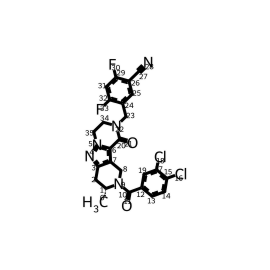 C[C@@H]1Cc2nn3c(c2CN1C(=O)c1ccc(Cl)c(Cl)c1)C(=O)N(Cc1cc(C#N)c(F)cc1F)CC3